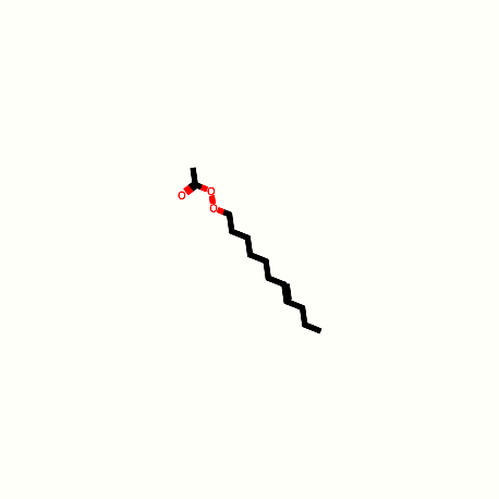 CCCC=CCCCCCCOOC(C)=O